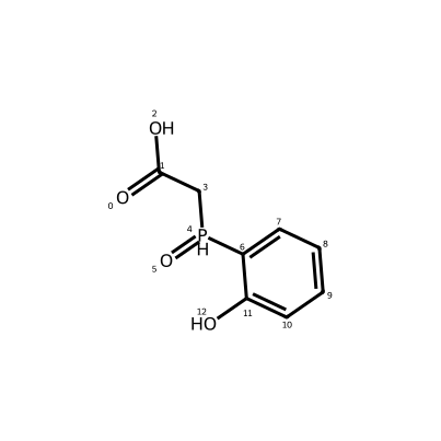 O=C(O)C[PH](=O)c1ccccc1O